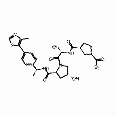 CCC(=O)[C@@H]1CC[C@H](C(=O)N[C@H](C(=O)N2C[C@H](O)C[C@H]2C(=O)N[C@@H](C)c2ccc(-c3scnc3C)cc2)C(C)(C)C)C1